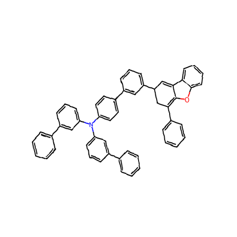 C1=c2c(oc3ccccc23)=C(c2ccccc2)CC1c1cccc(-c2ccc(N(c3cccc(-c4ccccc4)c3)c3cccc(-c4ccccc4)c3)cc2)c1